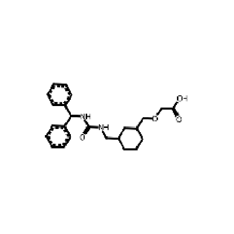 O=C(O)COCC1CCCC(CNC(=O)NC(c2ccccc2)c2ccccc2)C1